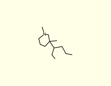 CCCC(CC)C1(C)CCCN(C)C1